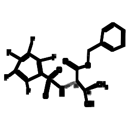 C[C@@H](O)[C@H](NS(=O)(=O)c1c(F)c(F)c(F)c(F)c1F)C(=O)OCc1ccccc1